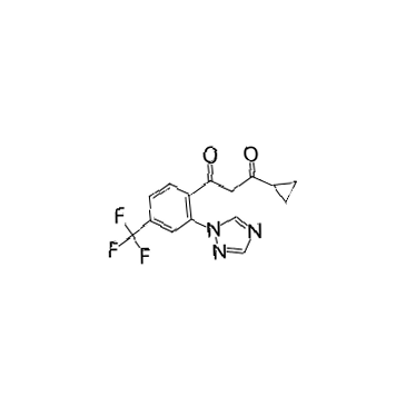 O=C(CC(=O)C1CC1)c1ccc(C(F)(F)F)cc1-n1cncn1